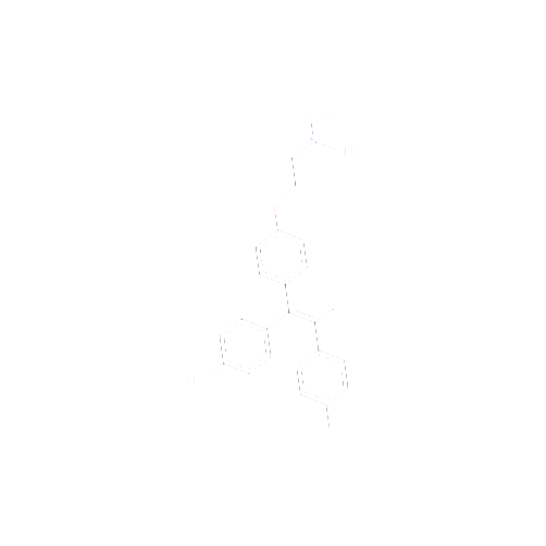 CCC(=C(c1ccc(O)cc1)c1ccc(OCCN(C)C)cc1)c1ccc(CC)cc1